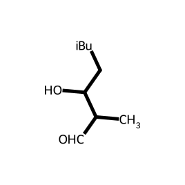 CCC(C)CC(O)C(C)C=O